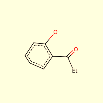 CCC(=O)c1ccccc1[O]